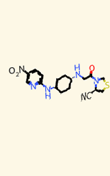 N#C[C@@H]1CSCN1C(=O)CN[C@H]1CC[C@H](Nc2ccc([N+](=O)[O-])cn2)CC1